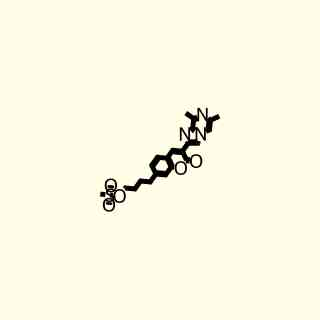 Cc1cn2cc(-c3cc4ccc(CCCCOS(C)(=O)=O)cc4oc3=O)nc2c(C)n1